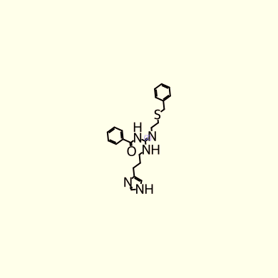 O=C(N/C(=N\CCSCc1ccccc1)NCCCc1c[nH]cn1)c1ccccc1